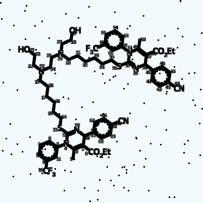 CCOC(=O)C1=C(C)N(c2cccc(C(F)(F)F)c2)C(SCCCCCCN(CCO)CCN(CCO)CCCCCCSC2=NC(c3ccc(C#N)cc3)C(C(=O)OCC)=C(C)N2c2cccc(C(F)(F)F)c2)=NC1c1ccc(C#N)cc1